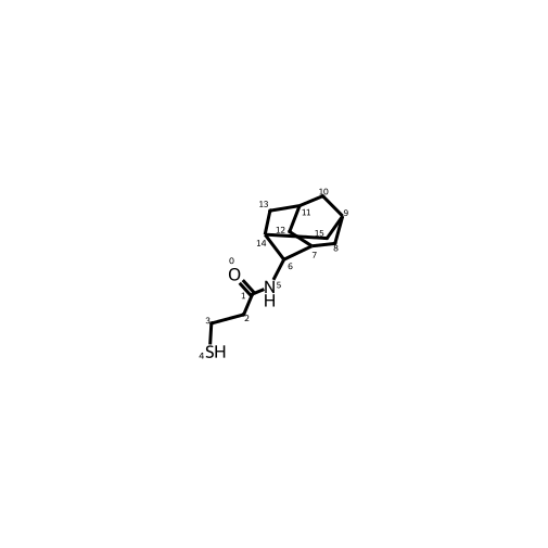 O=C(CCS)NC1C2CC3CC(C2)CC1C3